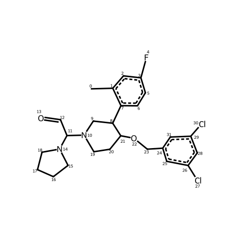 Cc1cc(F)ccc1C1CN(C(C=O)N2CCCC2)CCC1OCc1cc(Cl)cc(Cl)c1